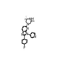 C[C@H]1CN(c2ccc3nc(-c4ccc(F)cc4)n(-c4ccncc4)c3n2)C[C@H](C)N1